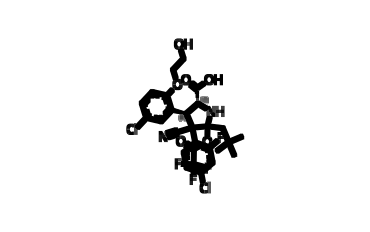 CC(C)(C)CC1(OC(=O)C(F)(F)F)N[C@@H](C(=O)O)[C@H](c2cc(Cl)ccc2OCCO)C1(C#N)c1ccc(Cl)cc1F